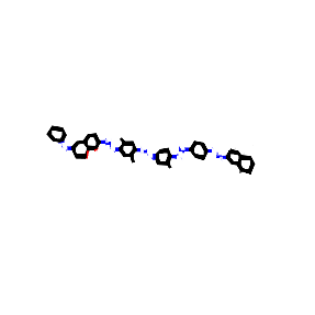 Cc1cc(N=Nc2cc(C)c(N=Nc3ccc4cc(Nc5ccccc5)ccc4c3O)cc2C)ccc1N=Nc1ccc(N=Nc2cc3c(S(=O)(=O)O)cccc3cc2S(=O)(=O)O)cc1